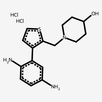 Cl.Cl.Nc1ccc(N)c(-c2ccsc2CN2CCC(O)CC2)c1